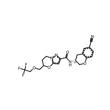 N#Cc1ccc2c(c1)C[C@@H](NC(=O)c1cc3n(n1)CCC(COCC(F)(F)F)O3)CO2